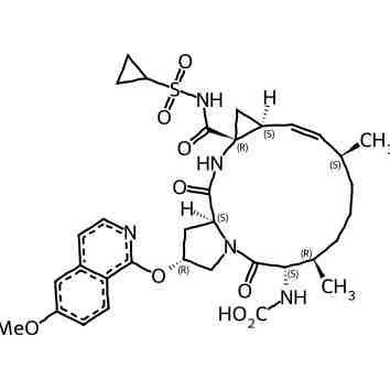 COc1ccc2c(O[C@@H]3C[C@H]4C(=O)N[C@]5(C(=O)NS(=O)(=O)C6CC6)C[C@H]5C=C[C@@H](C)CCC[C@@H](C)[C@H](NC(=O)O)C(=O)N4C3)nccc2c1